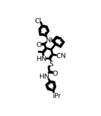 CC1=C(C(=O)Nc2ccc(Cl)cc2)C(c2ccccc2)C(C#N)=C(SCC(=O)Nc2ccc(C(C)C)cc2)N1